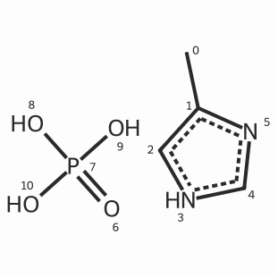 Cc1c[nH]cn1.O=P(O)(O)O